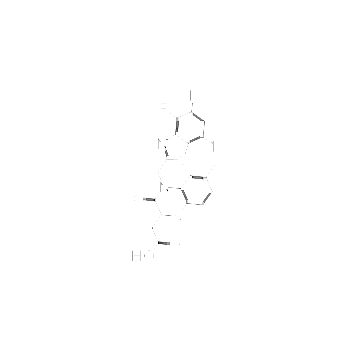 Cc1ccc2c(c1)N(Cc1nc3c(F)c(F)cc(F)c3s1)C(=O)C(CC(=O)O)S2